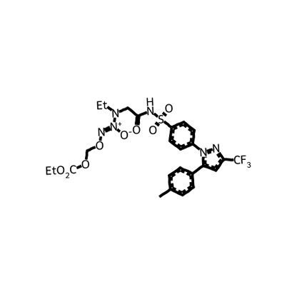 CCOC(=O)OCO/N=[N+](\[O-])N(CC)CC(=O)NS(=O)(=O)c1ccc(-n2nc(C(F)(F)F)cc2-c2ccc(C)cc2)cc1